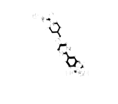 CC(C)(C)OC(=O)N1CCC(COc2cnc(-c3ccc4c(c3)OCS4(O)O)nc2)CC1